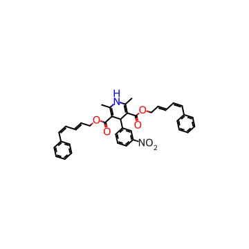 CC1=C(C(=O)OC/C=C/C=C\c2ccccc2)C(c2cccc([N+](=O)[O-])c2)C(C(=O)OC/C=C/C=C\c2ccccc2)=C(C)N1